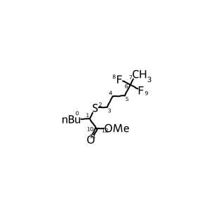 CCCCC(SCCCC(C)(F)F)C(=O)OC